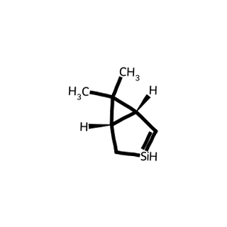 CC1(C)[C@@H]2C=[SiH]C[C@@H]21